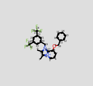 Cc1c(C)[n+]2cccc(OCc3ccccc3)c2n1Cc1cc(C(F)(F)F)cc(C(F)(F)F)c1